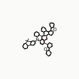 CC1(C)c2ccccc2-c2ccc(N(c3ccc(-c4cccc5c4oc4ccccc45)cc3)c3ccccc3-c3cccc4c5ccc6oc7ccccc7c6c5c5ccccc5c34)cc21